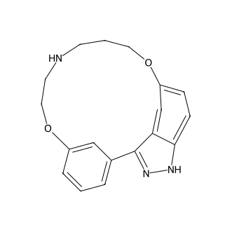 c1cc2cc(c1)-c1n[nH]c3ccc(cc13)OCCCNCCO2